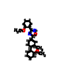 COc1ccccc1-c1noc(-c2ccc(-c3ccccc3OC)c(C)c2)n1